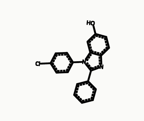 Oc1ccc2nc(-c3ccccc3)n(-c3ccc(Cl)cc3)c2c1